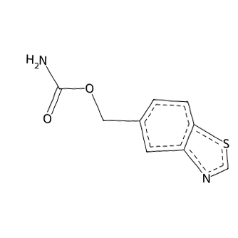 NC(=O)OCc1ccc2scnc2c1